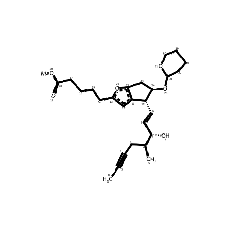 CC#CCC(C)[C@@H](O)C=C[C@@H]1c2cc(CCCCC(=O)OC)oc2C[C@H]1OC1CCCCO1